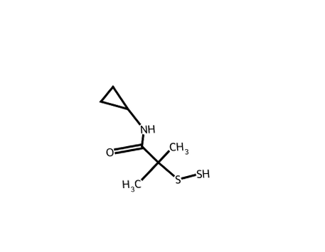 CC(C)(SS)C(=O)NC1CC1